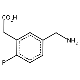 NCc1ccc(F)c(CC(=O)O)c1